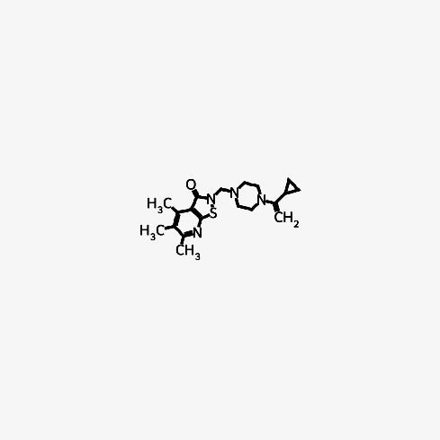 C=C(C1CC1)N1CCN(Cn2sc3nc(C)c(C)c(C)c3c2=O)CC1